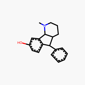 CN1CCCC2C(c3ccccc3)c3ccc(O)cc3C21